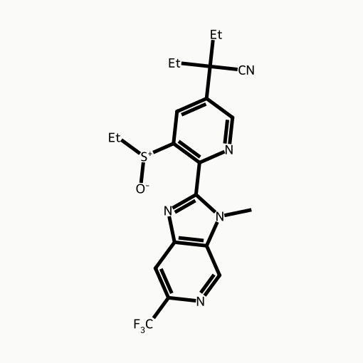 CC[S+]([O-])c1cc(C(C#N)(CC)CC)cnc1-c1nc2cc(C(F)(F)F)ncc2n1C